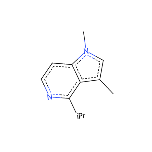 Cc1cn(C)c2ccnc(C(C)C)c12